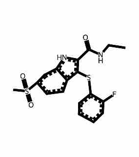 CCNC(=O)c1[nH]c2cc(S(C)(=O)=O)ccc2c1Sc1ccccc1F